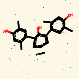 CC.Cc1cc(-c2cccc(-c3cc(C)c(O)cc3C)c2O)c(C)cc1O